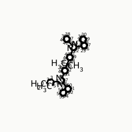 C=C/C=C\C(=C/C)c1nc(-c2ccc(C(C)(C)c3ccc(-c4cc(-c5cccc6ccccc56)nc(-c5ccccc5)n4)cc3)cc2)cc(-c2cccc3ccccc23)n1